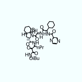 CCC[C@H](NC(=O)[C@@H]1C[C@@H]2CCCC[C@@H]2N1C(=O)[C@@H](NC(=O)[C@@H](NC(=O)c1cnccn1)C1CCCCC1)C(C)(C)C)C(=O)C(=O)NOCC(C)C